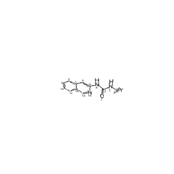 CC(C)NC(=O)Nc1cc2ccccc2cn1